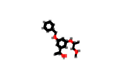 C=C(O)c1cc(OCc2ccccc2)cc(OC(C)COC)c1